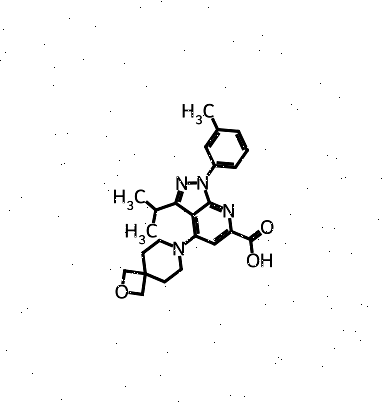 Cc1cccc(-n2nc(C(C)C)c3c(N4CCC5(CC4)COC5)cc(C(=O)O)nc32)c1